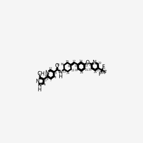 Cc1n[nH]cc1-c1ccc(C(=O)NC2CCC(=Cc3cccc(Oc4ccc(C(F)(F)F)cn4)c3)CC2)cn1